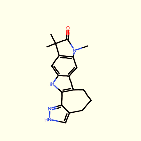 CN1C(=O)C(C)(C)c2cc3[nH]c4c(c3cc21)CCCc1c[nH]nc1-4